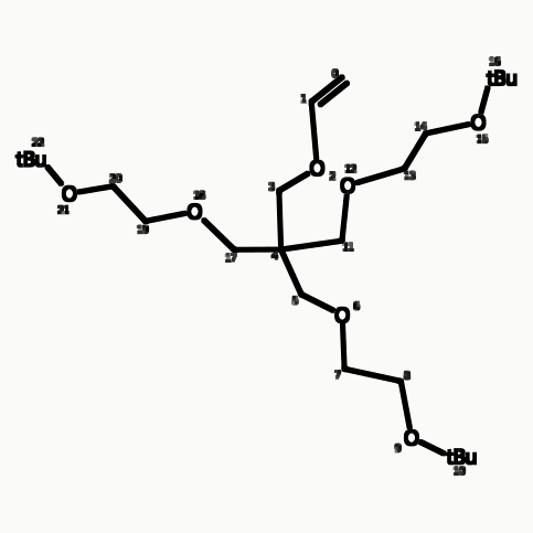 C=COCC(COCCOC(C)(C)C)(COCCOC(C)(C)C)COCCOC(C)(C)C